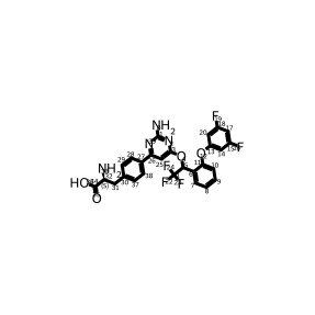 Nc1nc(OC(c2ccccc2Oc2cc(F)cc(F)c2)C(F)(F)F)cc(-c2ccc(C[C@H](N)C(=O)O)cc2)n1